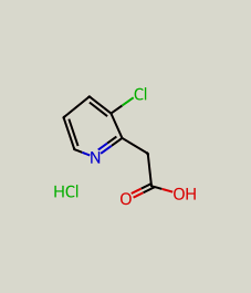 Cl.O=C(O)Cc1ncccc1Cl